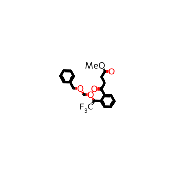 COC(=O)CCC(=O)c1ccccc1C(OCOCc1ccccc1)C(F)(F)F